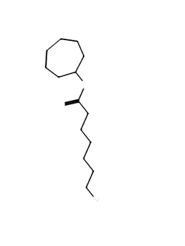 NCCCCCCC(=O)OC1CCCCCC1